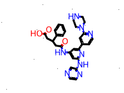 O=C(O)CC(CC(=O)Nc1cc(Nc2cnccn2)nc(-c2ccnc(N3CCNCC3)c2)c1)c1ccccc1